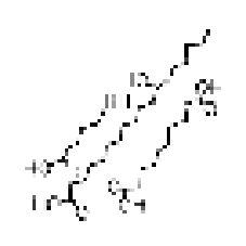 CCCCCC(=O)O.CCCCCCC(O)CCCCCCCCCCC(=O)O.O=C(O)CCCCCCCCC(=O)O.[LiH]